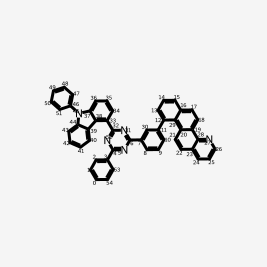 c1ccc(-c2nc(-c3cccc(-c4cccc5ccc6c(ccc7cccnc76)c45)c3)nc(-c3cccc4c3c3ccccc3n4-c3ccccc3)n2)cc1